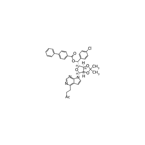 CC(=O)CCc1ncnc2c1ccn2[C@@H]1O[C@H](C(OC(=O)c2ccc(-c3ccccc3)cc2)c2ccc(Cl)cc2)[C@H]2OC(C)(C)O[C@H]21